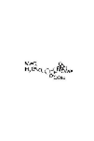 COC[C@H](C)COCc1ccc(C2=C(C(=O)OC)C3CN(C)C(=O)C(C2)N3C(=O)OC)cc1